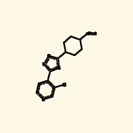 CCCCCC1CCC(c2nc(-c3ccncc3Cl)no2)CC1